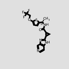 C[C@@H](NC(=O)C1CC1c1nc2cnccc2[nH]1)c1ccc(OCC(F)(F)F)s1